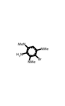 CNc1cc(NC)c(Br)c(NC)c1N